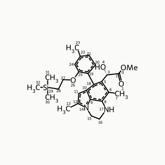 COC(=O)[C@@H](O)c1c(C)c2c3c(cc(C)n3CCN2)c1-c1ccc(C)cc1OCC[Si](C)(C)C